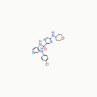 O=C(Nc1ccncc1Nc1ccc(Cl)cc1)c1cnc(NC2CCOCC2)cn1